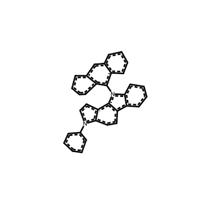 c1ccc(-n2ccc3c2ccc2c4ccccc4n(-c4c5ccccc5cc5ccccc45)c23)cc1